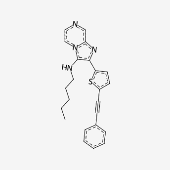 CCCCCNc1c(-c2ccc(C#Cc3ccccc3)s2)nc2cnccn12